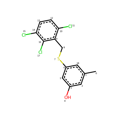 Cc1cc(O)cc(SCc2c(Cl)ccc(Cl)c2Cl)c1